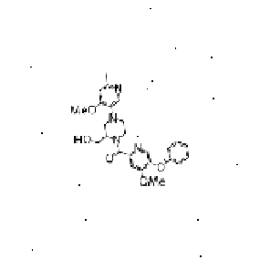 COc1cc(C(=O)N2CCN(c3cnc(C)cc3OC)C[C@@H]2CO)ncc1Oc1ccccc1